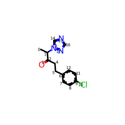 CC(C(=O)CCc1ccc(Cl)cc1)n1cncn1